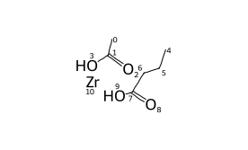 CC(=O)O.CCCC(=O)O.[Zr]